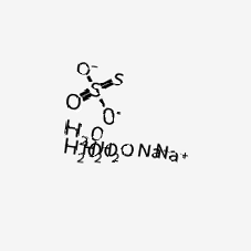 O.O.O.O.O=S([O-])([O-])=S.[Na+].[Na+]